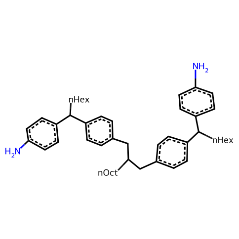 CCCCCCCCC(Cc1ccc(C(CCCCCC)c2ccc(N)cc2)cc1)Cc1ccc(C(CCCCCC)c2ccc(N)cc2)cc1